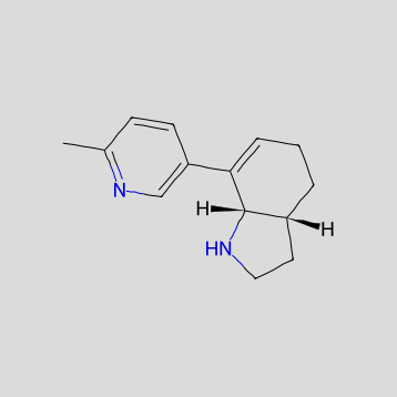 Cc1ccc(C2=CCC[C@@H]3CCN[C@H]23)cn1